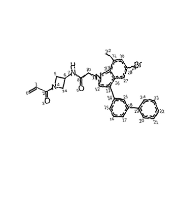 C=CC(=O)N1CC(NC(=O)Cn2cc(-c3cccc(-c4ccccc4)c3)c3cc(Br)cc(C)c32)C1